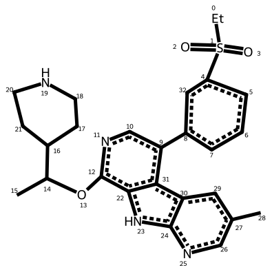 CCS(=O)(=O)c1cccc(-c2cnc(OC(C)C3CCNCC3)c3[nH]c4ncc(C)cc4c23)c1